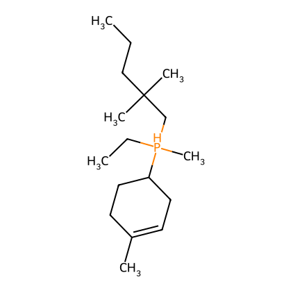 CCCC(C)(C)C[PH](C)(CC)C1CC=C(C)CC1